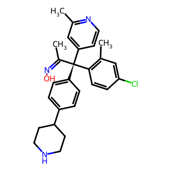 C/C(=N/O)[C@](c1ccc(C2CCNCC2)cc1)(c1ccnc(C)c1)c1ccc(Cl)cc1C